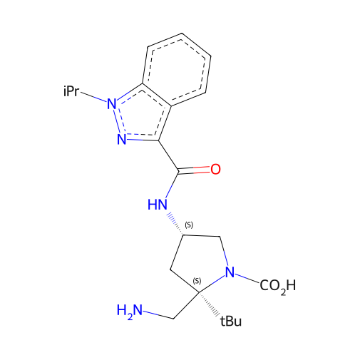 CC(C)n1nc(C(=O)N[C@@H]2CN(C(=O)O)[C@](CN)(C(C)(C)C)C2)c2ccccc21